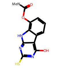 CNC(=O)Oc1cccc2c1[nH]c1nc(S)nc(O)c12